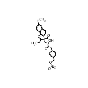 CCC(=O)[C@](COC(=O)Cc1ccc(CO[N+](=O)[O-])cc1)(C(=O)O)c1ccc2cc(OC)ccc2c1